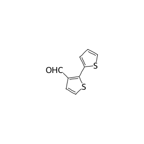 O=Cc1ccsc1-c1cccs1